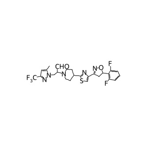 Cc1cc(C(F)(F)F)nn1CC(C=O)N1CCC(c2nc(C3=NOC(c4c(F)cccc4F)C3)cs2)CC1